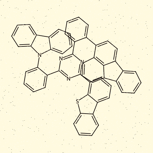 c1ccc(-c2ccc3c4c(cccc24)-c2ccccc2-3)c(-c2nc(-c3ccccc3-n3c4ccccc4c4ccccc43)nc(-c3cccc4c3sc3ccccc34)n2)c1